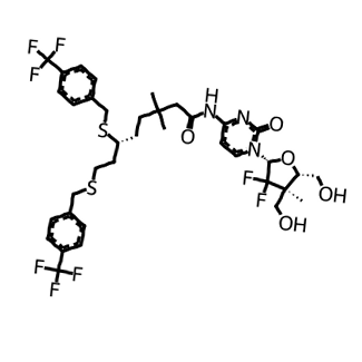 CC(C)(CC[C@H](CCSCc1ccc(C(F)(F)F)cc1)SCc1ccc(C(F)(F)F)cc1)CC(=O)Nc1ccn([C@@H]2O[C@H](CO)[C@@](C)(CO)C2(F)F)c(=O)n1